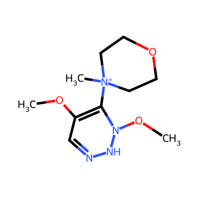 COC1=C([N+]2(C)CCOCC2)N(OC)NN=C1